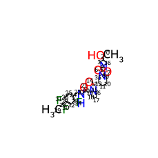 CC1(O)CN(S(=O)(=O)N2CCC[C@H](C(=O)N3CCC[C@@H]3C(=O)NCc3ccc(C(C)(F)F)cc3F)C2)C1